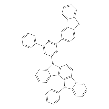 c1ccc(-c2cc(-n3c4ccccc4c4c3ccc3c5ccccc5n(-c5ccccc5)c34)nc(-c3ccc4sc5ccccc5c4c3)n2)cc1